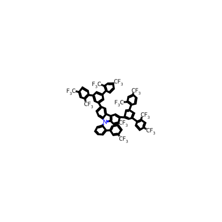 FC(F)(F)c1cc(-c2ccccc2-n2c3ccc(-c4cc(-c5ccc(C(F)(F)F)cc5C(F)(F)F)cc(-c5ccc(C(F)(F)F)cc5C(F)(F)F)c4)cc3c3cc(-c4cc(-c5ccc(C(F)(F)F)cc5C(F)(F)F)cc(-c5ccc(C(F)(F)F)cc5C(F)(F)F)c4)ccc32)cc(C(F)(F)F)c1